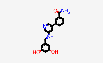 NC(=O)c1cccc(-c2cncc(NCc3cc(O)cc(O)c3)c2)c1